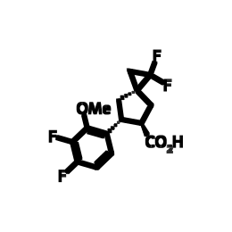 COc1c([C@@H]2C[C@]3(C[C@H]2C(=O)O)CC3(F)F)ccc(F)c1F